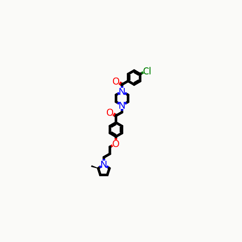 C[C@@H]1CCCN1CCCOc1ccc(C(=O)CN2CCN(C(=O)c3ccc(Cl)cc3)CC2)cc1